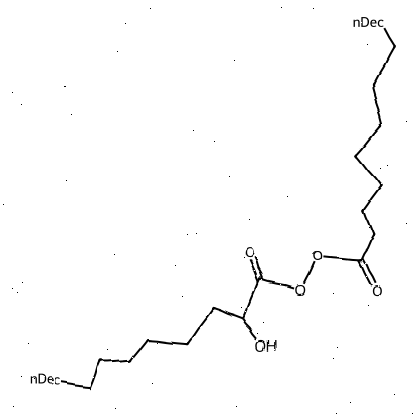 CCCCCCCCCCCCCCCCCC(=O)OOC(=O)C(O)CCCCCCCCCCCCCCCC